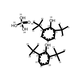 CC(C)(C)c1cccc(C(C)(C)C)c1O.CC(C)(C)c1cccc(C(C)(C)C)c1O.O=P(O)(O)O